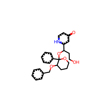 O=c1cc[nH]c(C(CCO)OC2(c3ccccc3)OCCCC2OCc2ccccc2)c1